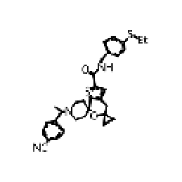 CCSc1ccc(CNC(=O)c2cc3c(s2)C2(CCN(C(C)c4ccc(C#N)cc4)CC2)OC2(CC2)C3)cc1